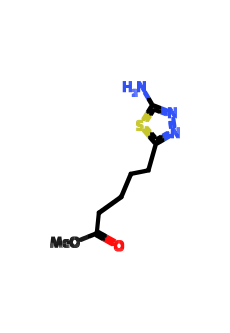 COC(=O)CCCCc1nnc(N)s1